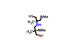 CNC[C@](C)(CS)NC[C@@](C)(CS)NC